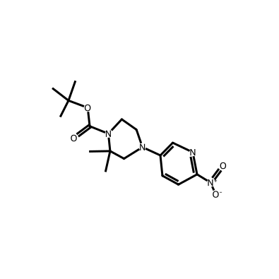 CC(C)(C)OC(=O)N1CCN(c2ccc([N+](=O)[O-])nc2)CC1(C)C